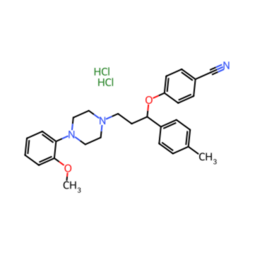 COc1ccccc1N1CCN(CCC(Oc2ccc(C#N)cc2)c2ccc(C)cc2)CC1.Cl.Cl